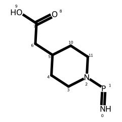 N=PN1CCC(CC(=O)O)CC1